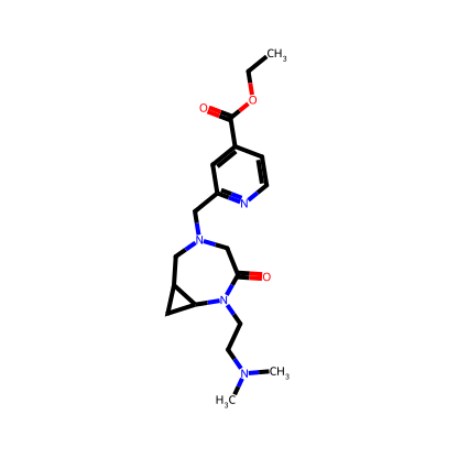 CCOC(=O)c1ccnc(CN2CC(=O)N(CCN(C)C)C3CC3C2)c1